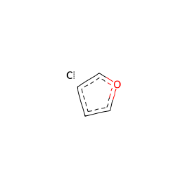 [C].c1ccoc1